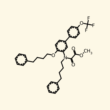 COC(=O)C(=O)N(CCCCc1ccccc1)c1cc(-c2ccc(OC(F)(F)F)cc2)ccc1OCCCCc1ccccc1